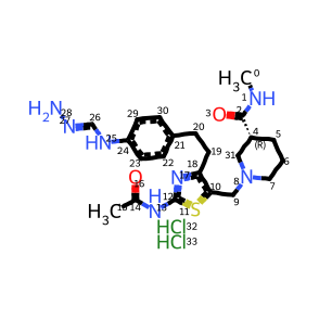 CNC(=O)[C@@H]1CCCN(Cc2sc(NC(C)=O)nc2CCc2ccc(NC=NN)cc2)C1.Cl.Cl